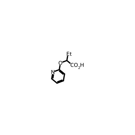 CCC(Oc1ccccn1)C(=O)O